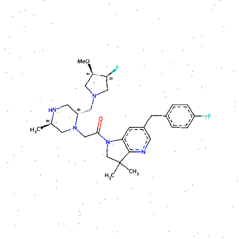 CO[C@@H]1CN(C[C@H]2CN[C@H](C)CN2CC(=O)N2CC(C)(C)c3ncc(Cc4ccc(F)cc4)cc32)C[C@@H]1F